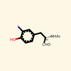 CC(=O)N[C@H]([C]=O)Cc1ccc(O)c(I)c1